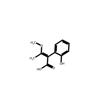 COC(C)=C(C(=O)O)c1ccccc1O